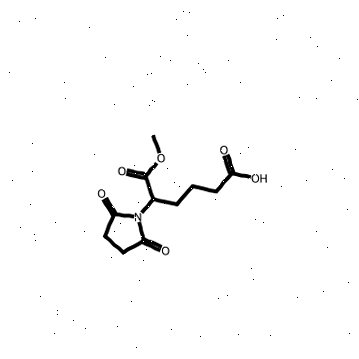 COC(=O)C(CCCC(=O)O)N1C(=O)CCC1=O